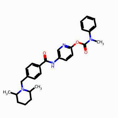 CC1CCCC(C)N1Cc1ccc(C(=O)Nc2ccc(OC(=O)N(C)c3ccccc3)nc2)cc1